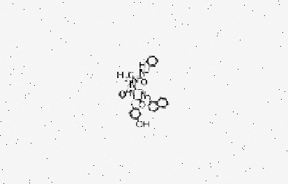 CN(C(=O)NCc1ccccc1)N1CC(=O)N2C1CN(Cc1cccc3ccccc13)C(=O)[C@@H]2Cc1ccc(O)cc1